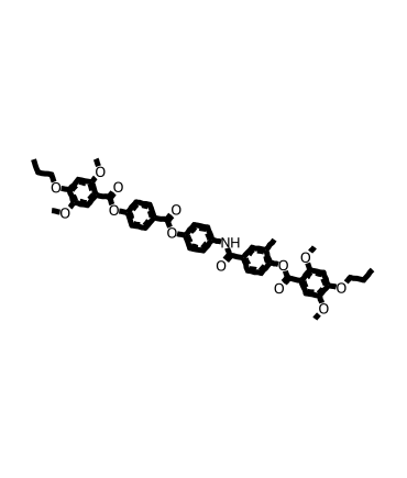 CCCOc1cc(OC)c(C(=O)Oc2ccc(C(=O)Oc3ccc(NC(=O)c4ccc(OC(=O)c5cc(OC)c(OCCC)cc5OC)c(C)c4)cc3)cc2)cc1OC